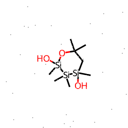 CC1(C)C[Si](C)(O)[Si](C)(C)[Si](C)(O)O1